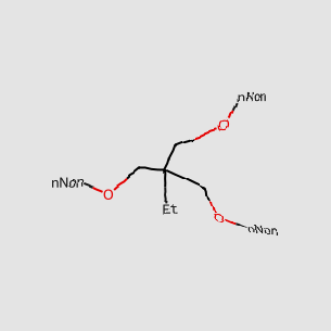 CCCCCCCCCOCC(CC)(COCCCCCCCCC)COCCCCCCCCC